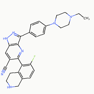 CCN1CCN(c2ccc(-c3n[nH]c4cc(C#N)c(-c5c(F)ccc6c5CCNC6)nc34)cc2)CC1